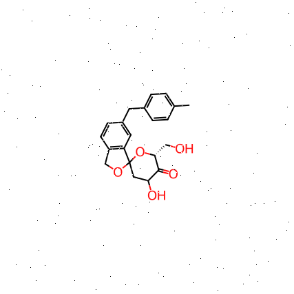 Cc1ccc(Cc2ccc3c(c2)C2(CC(O)C(=O)[C@@H](CO)O2)OC3)cc1